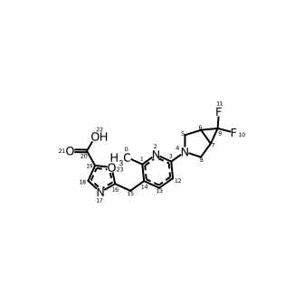 Cc1nc(N2CC3C(C2)C3(F)F)ccc1Cc1ncc(C(=O)O)o1